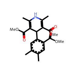 COC(=O)C1=C(C)NC(C)=C(C(=O)OC)C1c1cc(C)c(C)cc1C(=O)OC